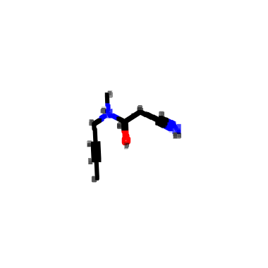 CC#CCN(C)C(=O)CC#N